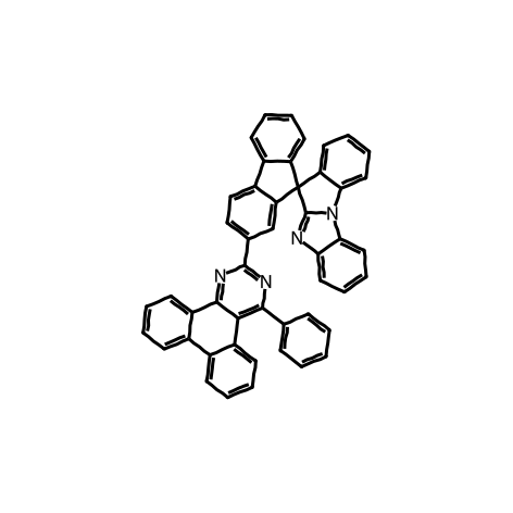 c1ccc(-c2nc(-c3ccc4c(c3)C3(c5ccccc5-4)c4ccccc4-n4c3nc3ccccc34)nc3c4ccccc4c4ccccc4c23)cc1